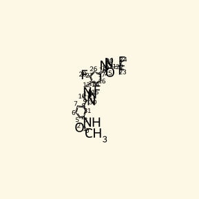 CC(=O)Nc1cccc(-c2cn(Cc3c(F)cc(-c4nnc(C(F)F)o4)cc3F)nn2)c1